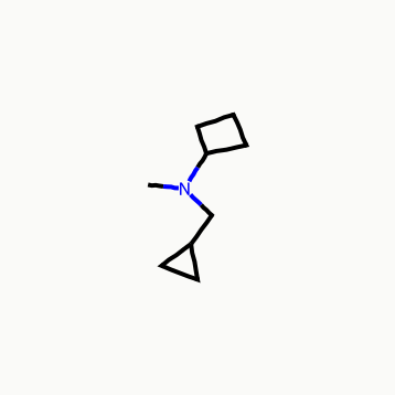 CN(CC1CC1)C1CCC1